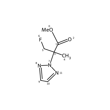 COC(=O)C(C)(CF)n1nccn1